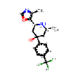 Cc1ncoc1[C@@H]1CC(O)(c2ccc(C(F)(F)F)cc2)C[C@H](C)N1